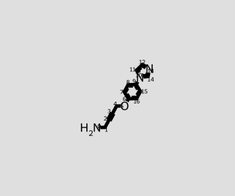 NCC#CCOc1ccc(-n2ccnc2)cc1